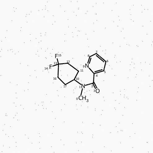 CN(C(=O)c1ccccn1)C1CCC(F)(F)CC1